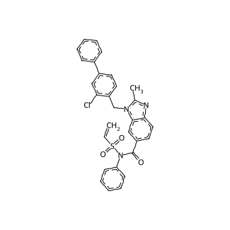 C=CS(=O)(=O)N(C(=O)c1ccc2nc(C)n(Cc3ccc(-c4ccccc4)cc3Cl)c2c1)c1ccccc1